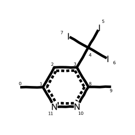 Cc1cc(C(I)(I)I)c(C)nn1